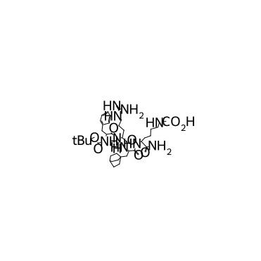 CC(C)(C)OC(=O)NC(Cc1ccccc1)C(=O)NC(CCCNC(=N)N)C(=O)NC(CC12CCC(CC1)CC2)C(=O)NC(CCCCNC(=O)O)C(N)=O